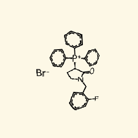 O=C1[C@H]([P+](c2ccccc2)(c2ccccc2)c2ccccc2)CCN1Cc1ccccc1F.[Br-]